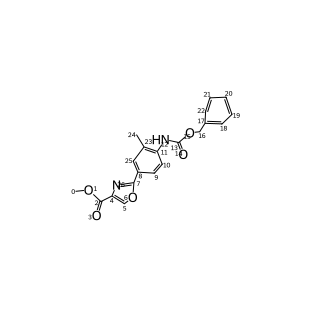 COC(=O)c1coc(-c2ccc(NC(=O)OCc3ccccc3)c(C)c2)n1